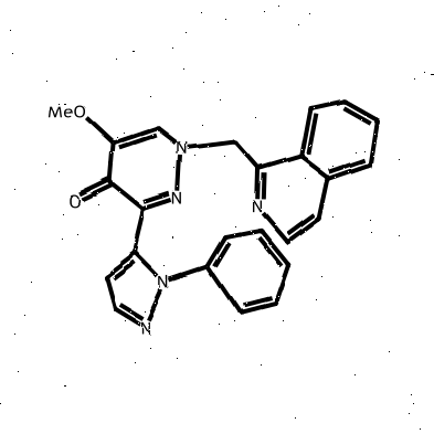 COc1cn(Cc2nccc3ccccc23)nc(-c2ccnn2-c2ccccc2)c1=O